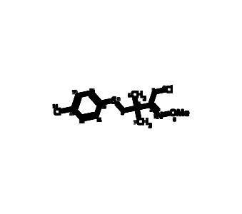 CON=C(CCl)C(C)(C)CSc1ccc(Cl)cc1